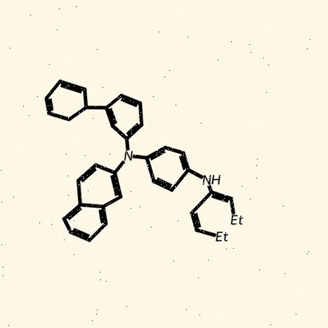 CC/C=C\C(=C/CC)Nc1ccc(N(c2cccc(C3C=CC=CC3)c2)c2ccc3ccccc3c2)cc1